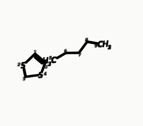 C1=CSCS1.CCCCC